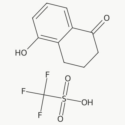 O=C1CCCc2c(O)cccc21.O=S(=O)(O)C(F)(F)F